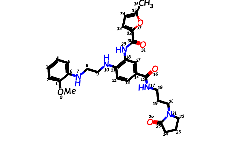 COc1ccccc1NCCNc1ccc(C(=O)NCCCN2CCCC2=O)cc1NC(=O)c1ccc(C)o1